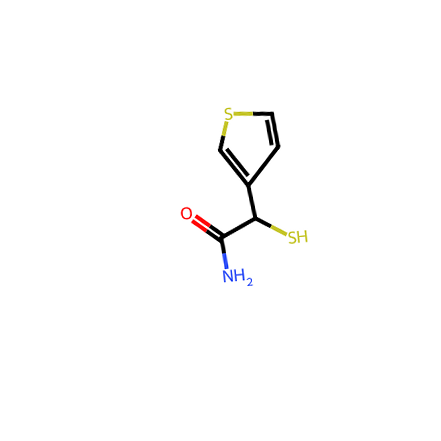 NC(=O)C(S)c1ccsc1